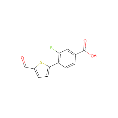 O=Cc1ccc(-c2ccc(C(=O)O)cc2F)s1